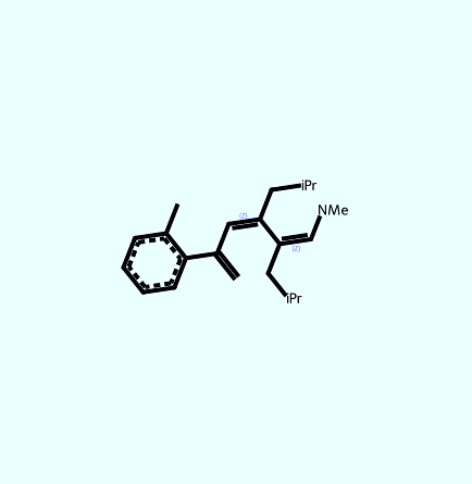 C=C(/C=C(CC(C)C)\C(=C/NC)CC(C)C)c1ccccc1C